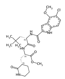 COC(=O)[C@H](C[C@@H]1CCCNC1=O)NC(=O)[C@H](CC(C)(C)C)NC(=O)c1cc2c(OC)c(Cl)ccc2[nH]1